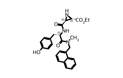 CCOC(=O)[C@H]1N[C@@H]1C(=O)N[C@@H](Cc1ccc(O)cc1)C(=O)N(C)Cc1cccc2ccccc12